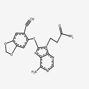 C#Cc1cc2c(cc1Sc1nc3c(N)ncnc3n1CCC(N)=O)OCO2